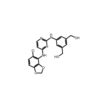 OCc1cc(CO)cc(Nc2nccc(Nc3c(Cl)ccc4c3OCO4)n2)c1